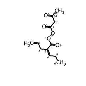 C=CCC(=CCC)C(=O)OOC(=O)CC(C)=O